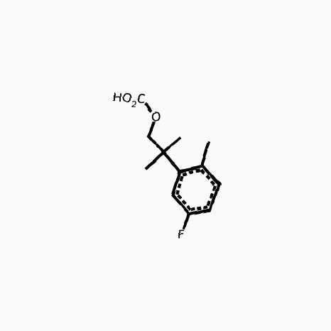 Cc1ccc(F)cc1C(C)(C)COC(=O)O